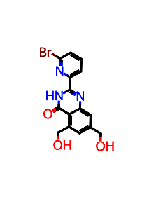 O=c1[nH]c(-c2cccc(Br)n2)nc2cc(CO)cc(CO)c12